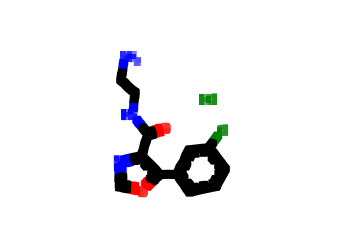 Cl.NCCNC(=O)c1ncoc1-c1cccc(Cl)c1